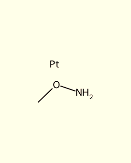 CON.[Pt]